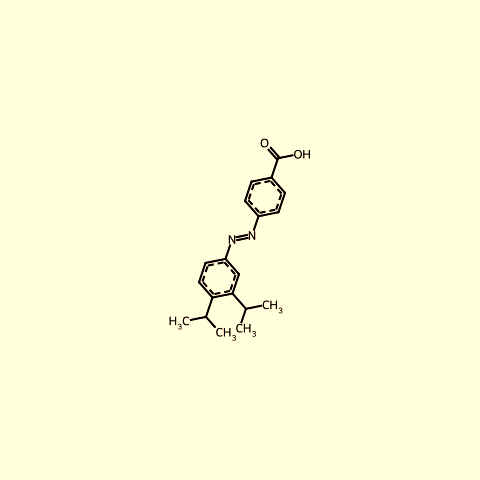 CC(C)c1ccc(N=Nc2ccc(C(=O)O)cc2)cc1C(C)C